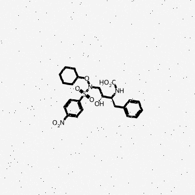 O=C(O)N[C@@H](Cc1ccccc1)[C@H](O)CN(OC1CCCCC1)S(=O)(=O)c1ccc([N+](=O)[O-])cc1